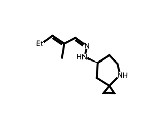 CC/C=C(C)/C=N\N[C@H]1CCNC2(CC2)C1